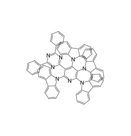 c1ccc(-c2nc(-c3ccccc3)nc(-c3c(-n4c5ccccc5c5ccccc54)nc(-n4c5ccccc5c5ccccc54)c(-n4c5ccccc5c5ccccc54)c3-n3c4ccccc4c4ccccc43)n2)cc1